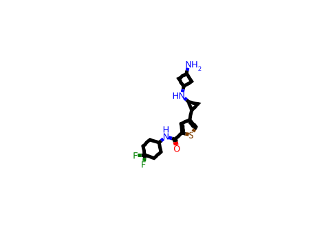 NC1CC(NC2CC2c2csc(C(=O)NC3CCC(F)(F)CC3)c2)C1